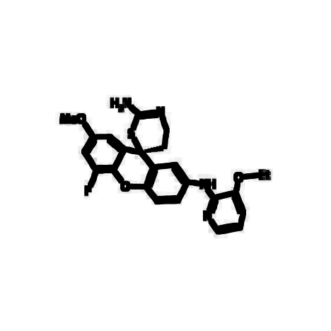 CCOc1cccnc1Nc1ccc2c(c1)[C@@]1(CCN=C(N)S1)c1cc(OC)cc(F)c1O2